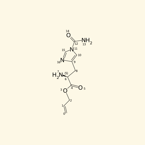 C=CCOC(=O)[C@@H](N)Cc1cn(C(N)=O)cn1